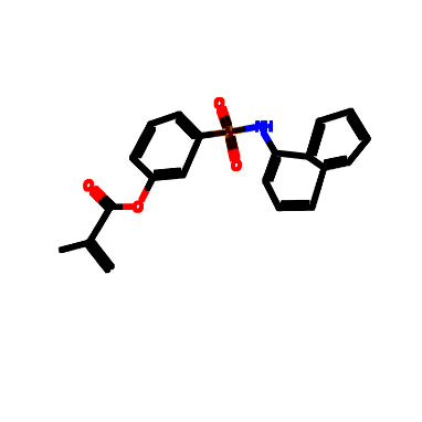 C=C(C)C(=O)Oc1cccc(S(=O)(=O)Nc2cccc3ccccc23)c1